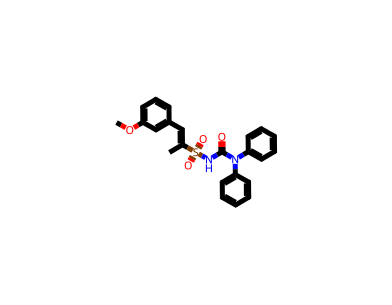 COc1cccc(/C=C(\C)S(=O)(=O)NC(=O)N(c2ccccc2)c2ccccc2)c1